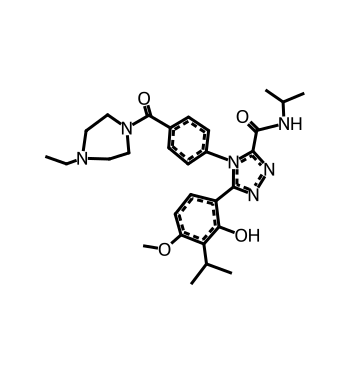 CCN1CCN(C(=O)c2ccc(-n3c(C(=O)NC(C)C)nnc3-c3ccc(OC)c(C(C)C)c3O)cc2)CC1